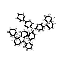 c1ccc(-c2ccc(N(c3ccc(-c4ccccc4-n4c5ccccc5c5c(-c6ccccc6)cccc54)cc3)c3ccc(-c4cccc5ccccc45)cc3)cc2)cc1